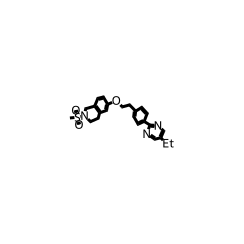 CCc1cnc(-c2ccc(CCOc3ccc4c(c3)CCN(S(C)(=O)=O)C4)cc2)nc1